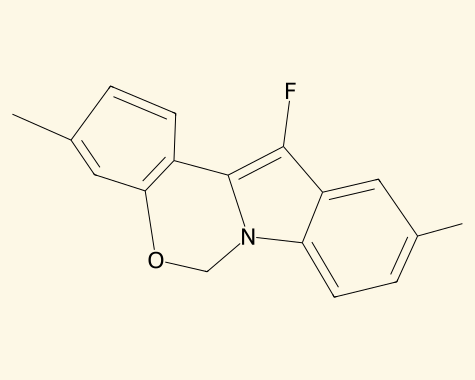 Cc1ccc2c(c1)OCn1c-2c(F)c2cc(C)ccc21